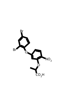 CC(Oc1cc(Oc2ccc(Br)cc2Br)ccc1[N+](=O)[O-])C(=O)O